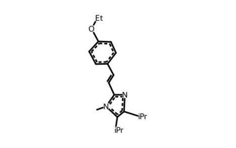 CCOc1ccc(C=Cc2nc(C(C)C)c(C(C)C)n2C)cc1